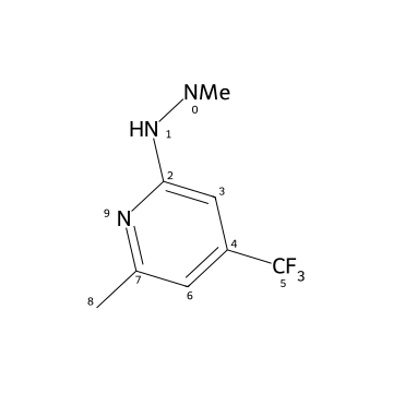 CNNc1cc(C(F)(F)F)cc(C)n1